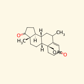 CC(=O)OC[C@]12CCC(=O)C=C1C(C)C[C@@H]1[C@H]2CC[C@]2(C)C(=O)CC[C@@H]12